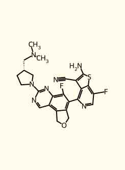 CN(C)C[C@H]1CCN(c2ncc3c4c(c(-c5ncc(F)c6sc(N)c(C#N)c56)c(F)c3n2)COC4)C1